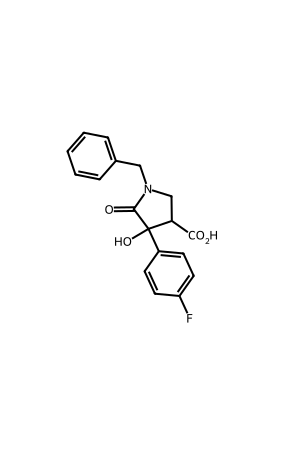 O=C(O)C1CN(Cc2ccccc2)C(=O)C1(O)c1ccc(F)cc1